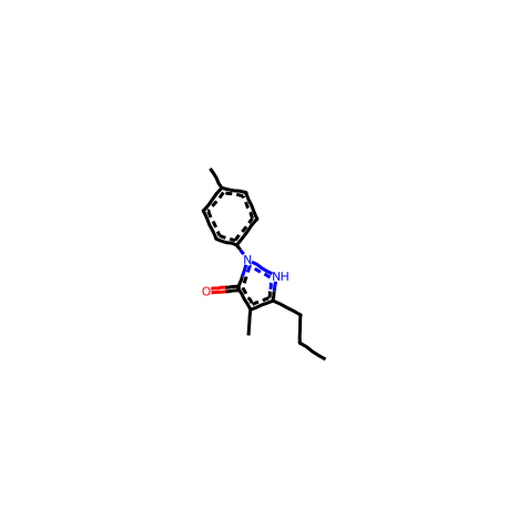 CCCc1[nH]n(-c2ccc(C)cc2)c(=O)c1C